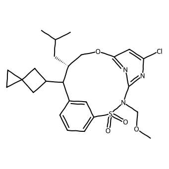 COCN1c2nc(Cl)cc(n2)OC[C@@H](CC(C)C)C(C2CC3(CC3)C2)c2cccc(c2)S1(=O)=O